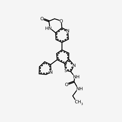 CCNC(=O)Nc1nc2cc(-c3cnc4c(c3)NC(=O)CO4)cc(-c3ccccn3)c2s1